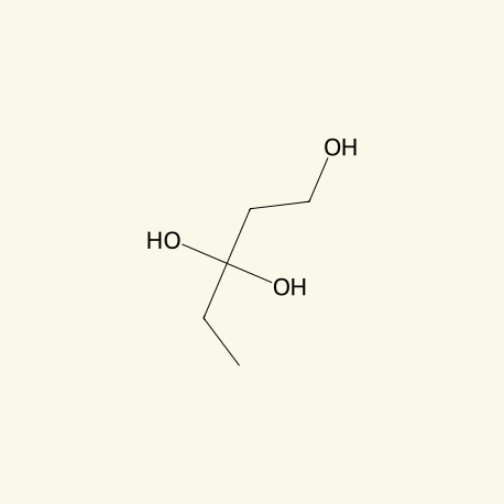 CCC(O)(O)CCO